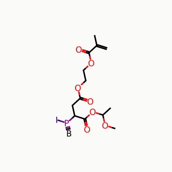 B#P(I)C(CC(=O)OCCOC(=O)C(=C)C)C(=O)OC(C)OC